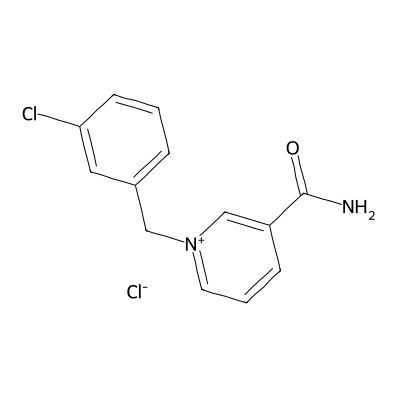 NC(=O)c1ccc[n+](Cc2cccc(Cl)c2)c1.[Cl-]